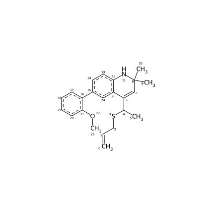 C=CCSC(C)C1=CC(C)(C)Nc2ccc(-c3ccccc3OC)cc21